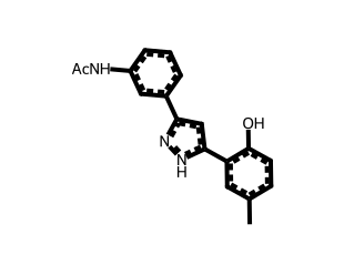 CC(=O)Nc1cccc(-c2cc(-c3cc(C)ccc3O)[nH]n2)c1